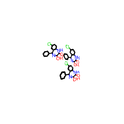 O=C1Nc2ccc(Cl)cc2C(c2ccccc2)=NC1O.O=C1Nc2ccc(Cl)cc2C(c2ccccc2)=NC1O.O=C1Nc2ccc(Cl)cc2C(c2ccccc2)=NC1O